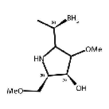 B[C@H](C)C1N[C@H](COC)[C@H](O)C1OC